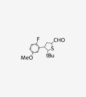 COc1ccc(F)c(C2CC(C=O)SC2C(C)(C)C)c1